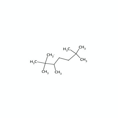 [CH2]C(C)(C)C(C)CCC(C)(C)C